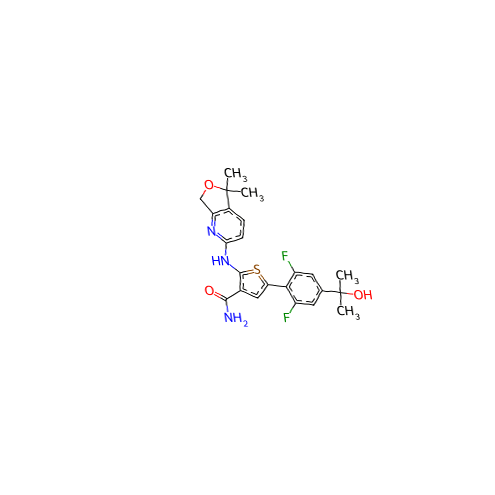 CC(C)(O)c1cc(F)c(-c2cc(C(N)=O)c(Nc3ccc4c(n3)COC4(C)C)s2)c(F)c1